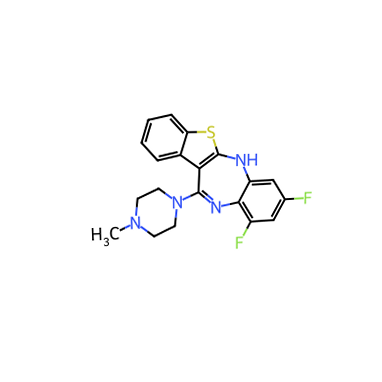 CN1CCN(C2=Nc3c(F)cc(F)cc3Nc3sc4ccccc4c32)CC1